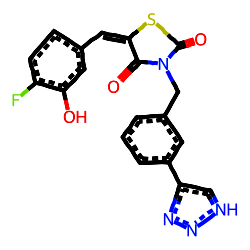 O=C1SC(=Cc2ccc(F)c(O)c2)C(=O)N1Cc1cccc(-c2c[nH]nn2)c1